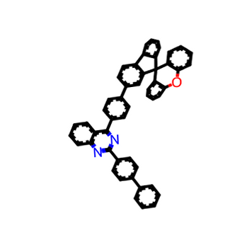 c1ccc(-c2ccc(-c3nc(-c4ccc(-c5ccc6c(c5)C5(c7ccccc7Oc7ccccc75)c5ccccc5-6)cc4)c4ccccc4n3)cc2)cc1